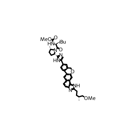 CC[C@H](C)[C@H](NC(=O)OC)C(=O)N1[C@@H](C)CC[C@H]1c1ncc(-c2ccc3c(c2)COc2cc4c(ccc5nc(CC[C@@H](C)COC)[nH]c54)cc2-3)[nH]1